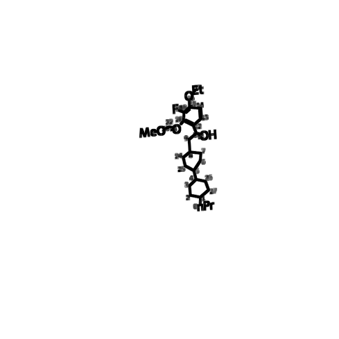 CCCC1CCC(C2CCC(CC(O)c3ccc(OCC)c(F)c3OCOC)CC2)CC1